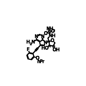 CCCOc1cccc(F)c1C#Cc1cn([C@]2(CNS(N)(=O)=O)OC[C@H](O)[C@H]2O)c2ncnc(N)c12